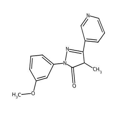 COc1cccc(N2N=C(c3cccnc3)C(C)C2=O)c1